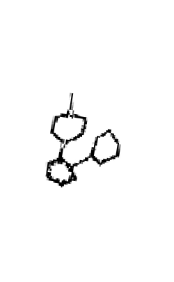 CN1CCN(c2ccccc2C2CCCCC2)CC1